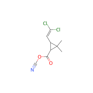 CC1(C)C(C=C(Cl)Cl)C1C(=O)OC#N